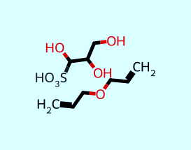 C=CCOCC=C.O=S(=O)(O)C(O)C(O)CO